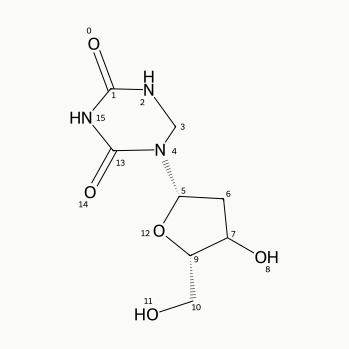 O=C1NCN([C@@H]2CC(O)[C@H](CO)O2)C(=O)N1